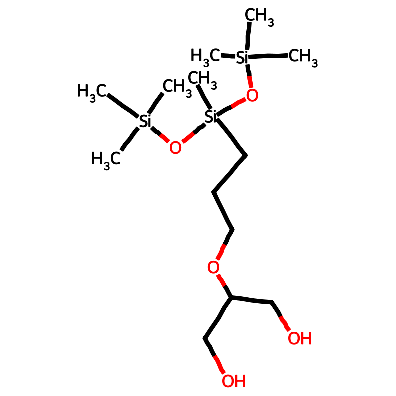 C[Si](C)(C)O[Si](C)(CCCOC(CO)CO)O[Si](C)(C)C